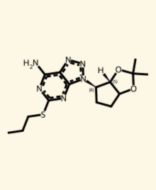 CCCSc1nc(N)c2nnn([C@@H]3CCC4OC(C)(C)O[C@H]43)c2n1